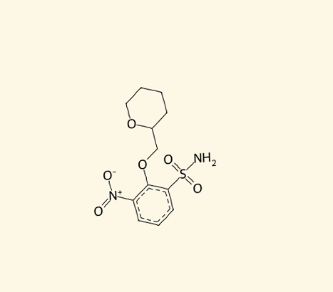 NS(=O)(=O)c1cccc([N+](=O)[O-])c1OCC1CCCCO1